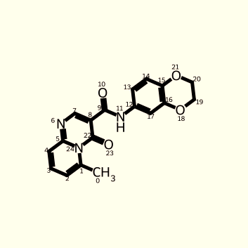 Cc1cccc2ncc(C(=O)Nc3ccc4c(c3)OCCO4)c(=O)n12